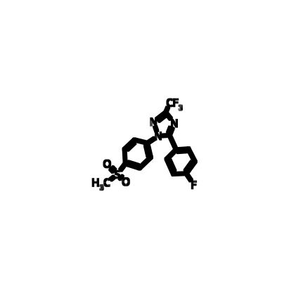 CS(=O)(=O)c1ccc(-n2nc(C(F)(F)F)nc2-c2ccc(F)cc2)cc1